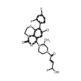 C[C@H]1CN(C(=O)/C=C/C(O)F)CCN1c1nc(=O)n2c3c(c(-c4ccc(F)cc4F)c(Cl)cc13)SCC2